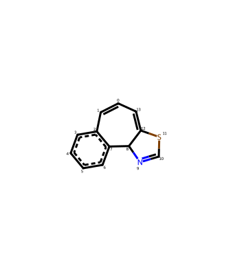 C1=Cc2ccccc2C2N=CSC2=C1